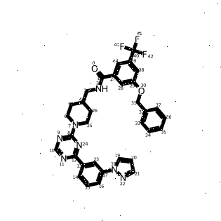 O=C(NCC1CCN(c2ncnc(-c3cccc(-n4cccn4)c3)n2)CC1)c1cc(OCc2ccccc2)cc(C(F)(F)F)c1